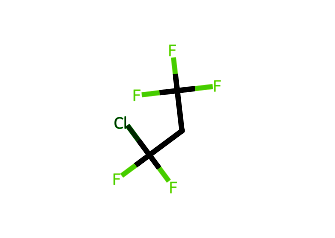 FC(F)(F)CC(F)(F)Cl